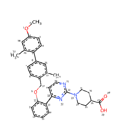 COc1ccc(-c2ccc(COc3ccccc3-c3ccnc(N4CCC(C(=O)O)CC4)n3)c(C)c2)c(C)c1